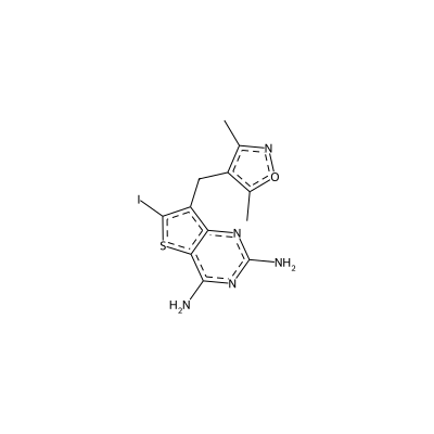 Cc1noc(C)c1Cc1c(I)sc2c(N)nc(N)nc12